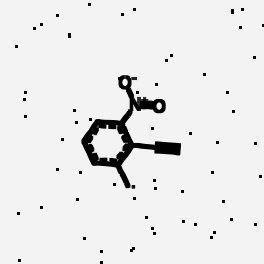 C#Cc1c([CH2])cccc1[N+](=O)[O-]